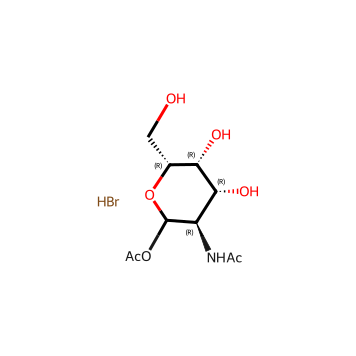 Br.CC(=O)N[C@H]1C(OC(C)=O)O[C@H](CO)[C@H](O)[C@@H]1O